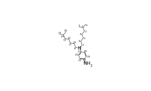 CC(C)CCCCCN(CCCCCC(C)C)c1ccc(N)cc1